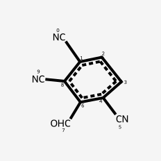 N#Cc1ccc(C#N)c(C=O)c1C#N